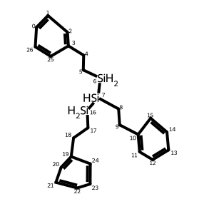 c1ccc(CC[SiH2][SiH](CCc2ccccc2)[SiH2]CCc2ccccc2)cc1